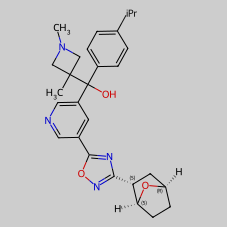 CC(C)c1ccc(C(O)(c2cncc(-c3nc([C@@H]4C[C@H]5CC[C@@H]4O5)no3)c2)C2(C)CN(C)C2)cc1